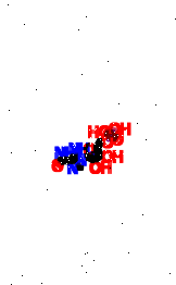 NC(=O)c1ncn(C2OC(COP(=O)(O)O)C(O)C2O)c1N